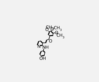 COc1cc(C(=O)C=Cc2cccnc2Nc2ccc(O)cc2)cc(OC)c1OC